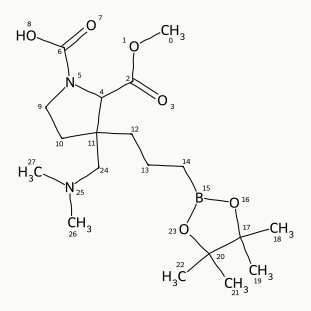 COC(=O)C1N(C(=O)O)CCC1(CCCB1OC(C)(C)C(C)(C)O1)CN(C)C